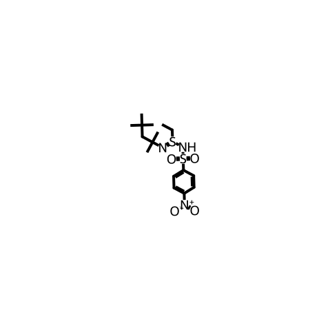 CCS(=NC(C)(C)CC(C)(C)C)NS(=O)(=O)c1ccc([N+](=O)[O-])cc1